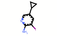 Nc1ncc(C2CC2)cc1I